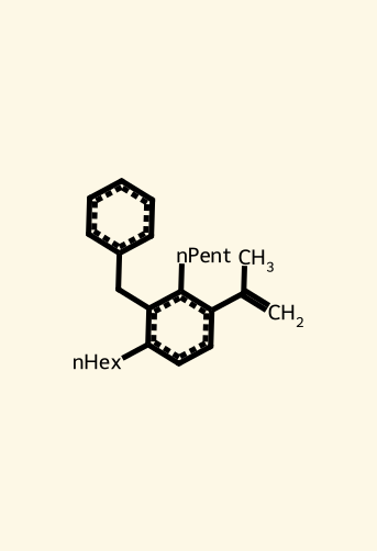 C=C(C)c1ccc(CCCCCC)c(Cc2ccccc2)c1CCCCC